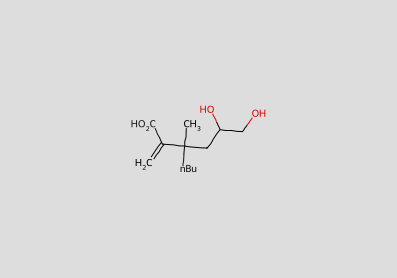 C=C(C(=O)O)C(C)(CCCC)CC(O)CO